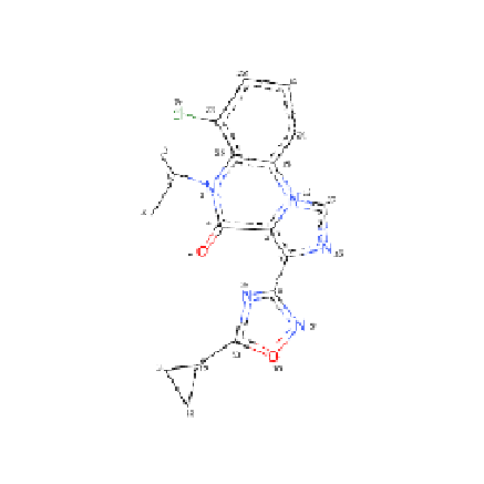 CC(C)n1c(=O)c2c(-c3noc(C4CC4)n3)ncn2c2cccc(Cl)c21